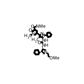 CNC(=O)c1cc(-c2nn(-c3ccccc3)c(NC(=O)NC[C@@H]3CN(CCOC)C[C@H]3c3ccccc3)c2C)cn(C)c1=O